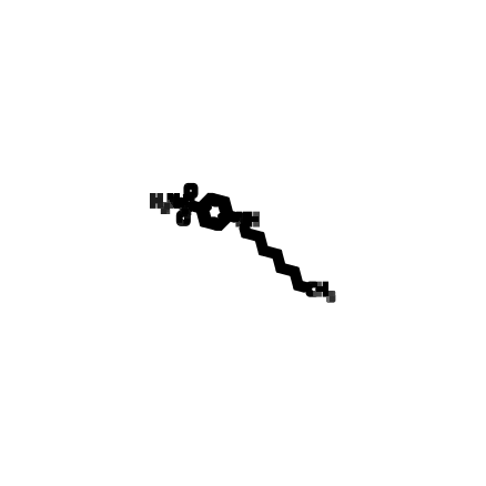 CCCCCCCCNc1ccc(S(N)(=O)=O)cc1